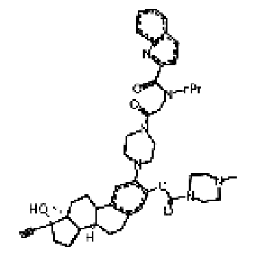 C#C[C@]1(O)CCC2[C@@H]3CCc4cc(OC(=O)N5CCN(C)CC5)c(N5CCN(C(=O)CN(CCC)C(=O)c6ccc7ccccc7n6)CC5)cc4C3CC[C@@]21C